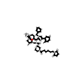 CC(C)(C)OC(=O)N1C[C@@H](CN(C(=O)[C@H]2CN(C(=O)CCCCCN3C(=O)C=CC3=O)CCO2)[C@@H](c2nc(-c3cc(F)ccc3F)cn2Cc2ccccc2)C2CCOCC2)[C@@H](F)C1